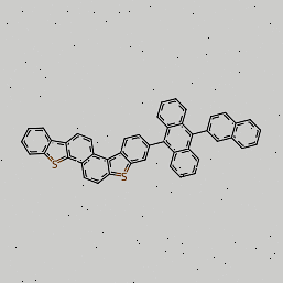 c1ccc2cc(-c3c4ccccc4c(-c4ccc5c(c4)sc4ccc6c(ccc7c8ccccc8sc76)c45)c4ccccc34)ccc2c1